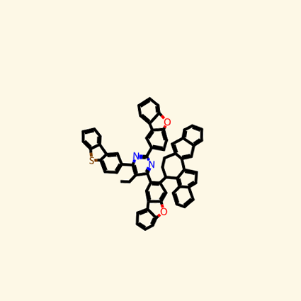 CCc1c(-c2ccc3sc4ccccc4c3c2)nc(-c2ccc3oc4ccccc4c3c2)nc1-c1cc2c(cc1C1CCc3cc4ccccc4cc3-c3ccc4ccccc4c31)oc1ccccc12